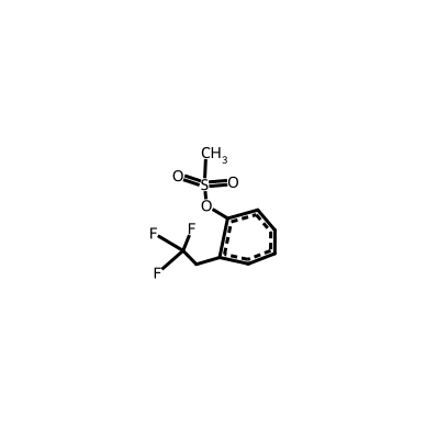 CS(=O)(=O)Oc1ccccc1CC(F)(F)F